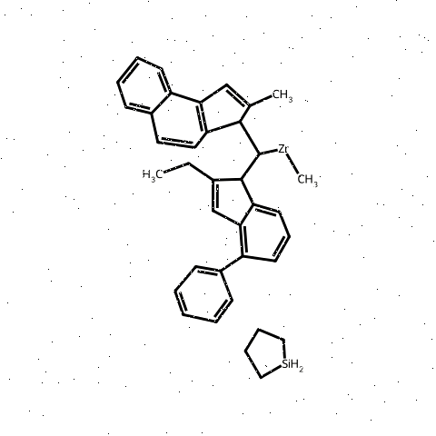 C1CC[SiH2]C1.CCC1=Cc2c(-c3ccccc3)cccc2C1[CH]([Zr][CH3])C1C(C)=Cc2c1ccc1ccccc21